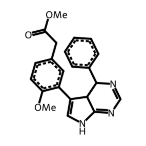 COC(=O)Cc1ccc(OC)c(C2=CNC3=NC=NC(c4ccccc4)C23)c1